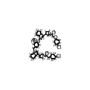 CCCCn1cc(C2CCN(C(=O)COc3ccc(Cl)cc3)C2)c2ccccc21.O=C(Cc1ccc(Cl)cc1)N1CCC(c2cn(Cc3cccc(F)c3)c3ccccc23)C1